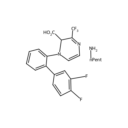 CCCCCN.O=C(O)C1C(C(F)(F)F)=NC=CN1c1ccccc1-c1ccc(F)c(F)c1